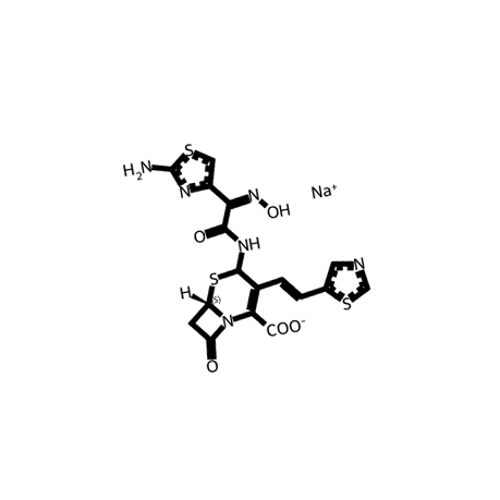 Nc1nc(C(=NO)C(=O)NC2S[C@H]3CC(=O)N3C(C(=O)[O-])=C2C=Cc2cncs2)cs1.[Na+]